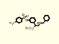 CCOC(=O)C(CNCc1ccccc1)c1cccc(OS(=O)(=O)c2ccc(C)cc2)c1